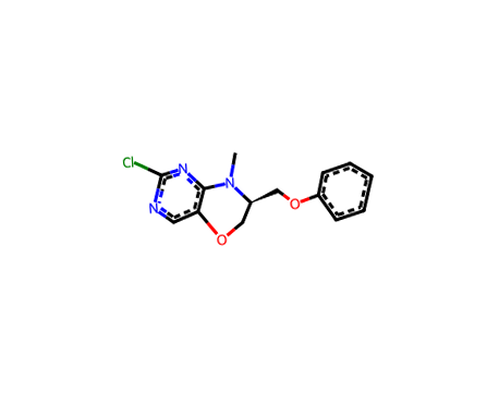 CN1c2nc(Cl)ncc2OC[C@@H]1COc1ccccc1